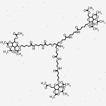 CC(=O)NC1C(OCCCCC(=O)NCCCNC(=O)CCOCC(N)(COCCC(=O)NCCCNC(=O)CCCCOC2OC(COC(C)=O)C(OC(C)=O)C(OC(C)=O)C2NC(C)=O)COCCC(=O)NCCCNC(=O)CCCCOC2OC(COC(C)=O)C(OC(C)=O)C(OC(C)=O)C2NC(C)=O)OC(COC(C)=O)C(OC(C)=O)C1OC(C)=O